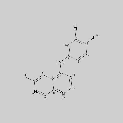 Cc1cc2c(Nc3ccc(F)c(Cl)c3)ncnc2cn1